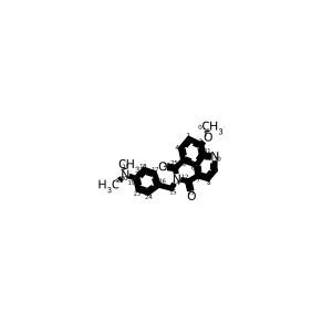 COc1ccc2c3c(ccnc13)C(=O)N(Cc1ccc(N(C)C)cc1)C2=O